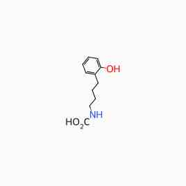 O=C(O)NCCCCc1ccccc1O